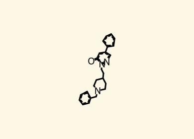 O=c1cc(-c2ccccc2)cnn1CCC1CCN(Cc2ccccc2)CC1